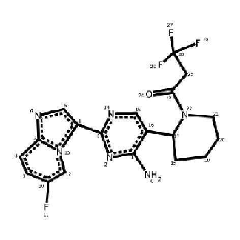 Nc1nc(-c2cnc3ccc(F)cn23)ncc1C1CCCCN1C(=O)CC(F)(F)F